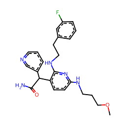 COCCCNc1ccc(C(C(N)=O)c2cccnc2)c(NCCc2cccc(F)c2)n1